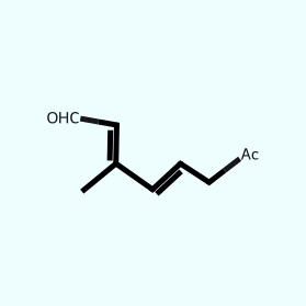 CC(=O)CC=CC(C)=CC=O